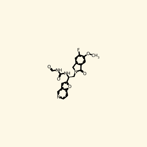 COc1cc2c(cc1F)CN(C[C@H](NC(=O)NC=O)c1cc3cnccc3o1)C2=O